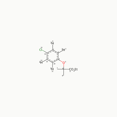 [2H]c1c([2H])c(OC(C)(C)C(=O)OCC)c([2H])c([2H])c1Cl